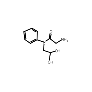 NCC(=O)N(CC(O)O)c1ccccc1